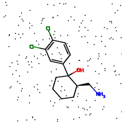 NC[C@H]1CCCCC1(O)c1ccc(Cl)c(Cl)c1